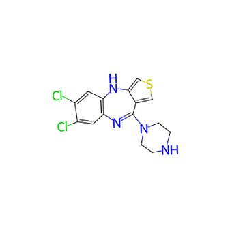 Clc1cc2c(cc1Cl)Nc1cscc1C(N1CCNCC1)=N2